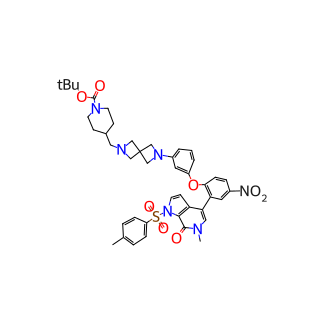 Cc1ccc(S(=O)(=O)n2ccc3c(-c4cc([N+](=O)[O-])ccc4Oc4cccc(N5CC6(CN(CC7CCN(C(=O)OC(C)(C)C)CC7)C6)C5)c4)cn(C)c(=O)c32)cc1